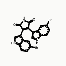 O=C1NC(=O)C(c2c[nH]c3ccc(Br)cc23)=C1c1c[nH]c2ccc(Br)cc12